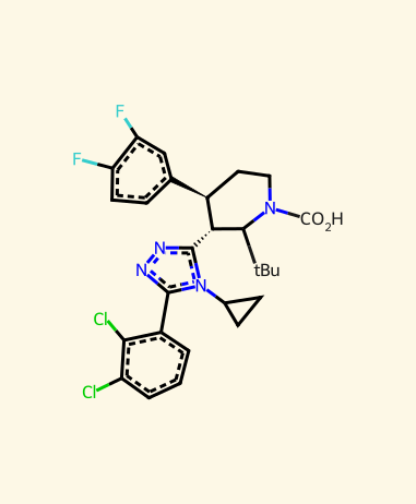 CC(C)(C)C1[C@H](c2nnc(-c3cccc(Cl)c3Cl)n2C2CC2)[C@@H](c2ccc(F)c(F)c2)CCN1C(=O)O